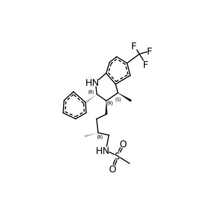 C[C@H](CC[C@@H]1[C@H](C)c2cc(C(F)(F)F)ccc2N[C@H]1c1ccccc1)CNS(C)(=O)=O